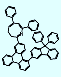 C1=C(c2ccccc2)\N=C(\c2ccc3c(c2)c2ccccc2c2cccc(-c4ccc5c(c4)-c4ccccc4C5(c4ccccc4)c4ccccc4)c23)CC\C=C/1c1ccccc1